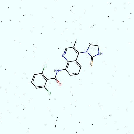 Cc1cnc2c(NC(=O)c3c(Cl)cccc3Cl)cccc2c1N1CCNC1=S